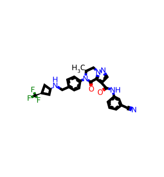 C[C@H]1Cn2ncc(C(=O)Nc3cccc(C#N)c3)c2C(=O)N1c1ccc(CN[C@H]2C[C@H](C(F)(F)F)C2)cc1